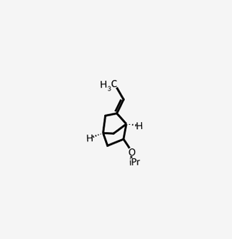 C/C=C1\C[C@@H]2CC(OC(C)C)[C@H]1C2